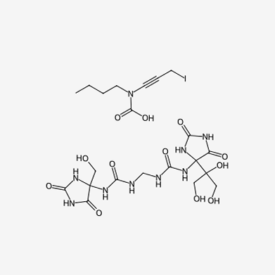 CCCCN(C#CCI)C(=O)O.O=C(NCNC(=O)NC1(C(O)(CO)CO)NC(=O)NC1=O)NC1(CO)NC(=O)NC1=O